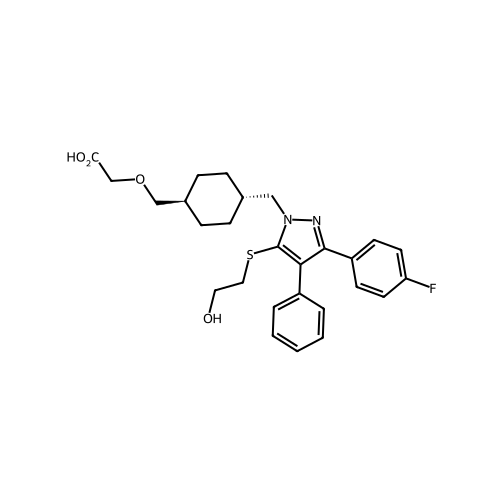 O=C(O)COC[C@H]1CC[C@H](Cn2nc(-c3ccc(F)cc3)c(-c3ccccc3)c2SCCO)CC1